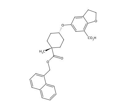 C[C@]1(C(=O)OCc2cccc3ccccc23)CC[C@@H](Oc2cc3c(c(C(=O)O)c2)OCC3)CC1